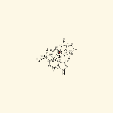 NC(=O)c1cnc2[nH]ccc2c1N[C@@H]1C[C@H]2CC[C@@H](C1)N2c1ccc(F)cn1